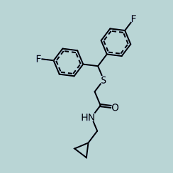 O=C(CSC(c1ccc(F)cc1)c1ccc(F)cc1)NCC1CC1